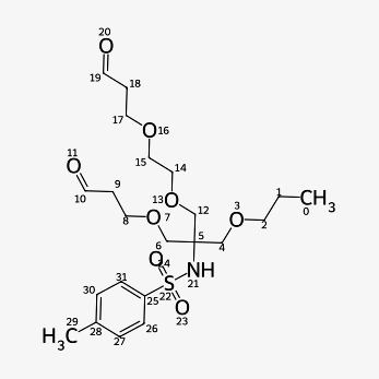 CCCOCC(COCCC=O)(COCCOCCC=O)NS(=O)(=O)c1ccc(C)cc1